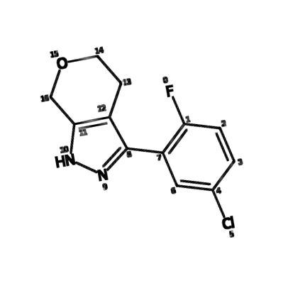 Fc1ccc(Cl)cc1-c1n[nH]c2c1CCOC2